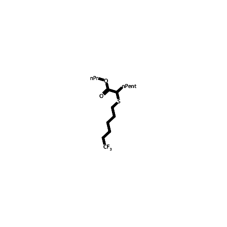 CCCCCC(SCCCCCC(F)(F)F)C(=O)OCCC